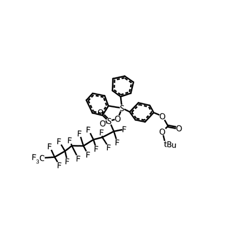 CC(C)(C)OC(=O)Oc1ccc(S(OS(=O)(=O)C(F)(F)C(F)(F)C(F)(F)C(F)(F)C(F)(F)C(F)(F)C(F)(F)C(F)(F)F)(c2ccccc2)c2ccccc2)cc1